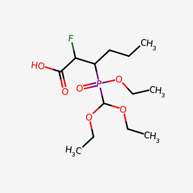 CCCC(C(F)C(=O)O)P(=O)(OCC)C(OCC)OCC